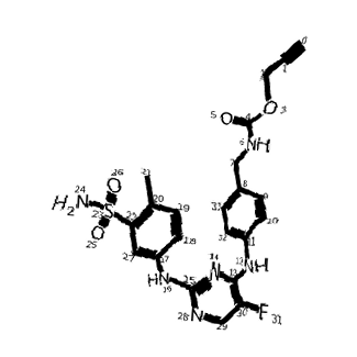 C#CCOC(=O)NCc1ccc(Nc2nc(Nc3ccc(C)c(S(N)(=O)=O)c3)ncc2F)cc1